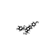 Cc1nc(C(=O)Nc2cc3cn([C@H]4CC[C@H](C(C)C)CC4)nc3cc2C(C)(C)O)ccc1F